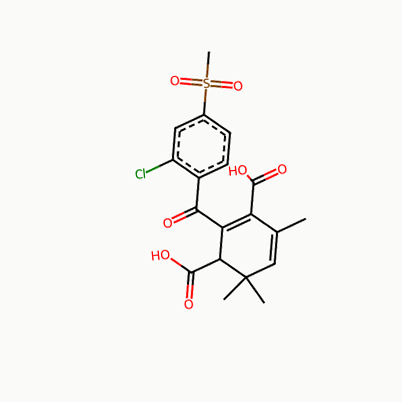 CC1=CC(C)(C)C(C(=O)O)C(C(=O)c2ccc(S(C)(=O)=O)cc2Cl)=C1C(=O)O